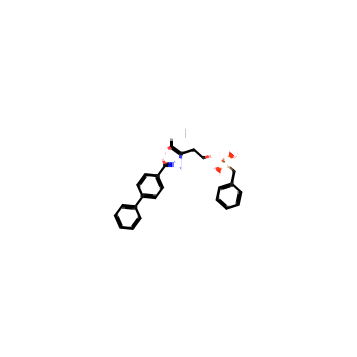 Cc1oc(-c2ccc(-c3ccccc3)cc2)nc1CCOS(=O)(=O)Cc1ccccc1